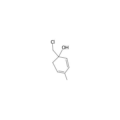 CC1=CCC(O)(CCl)C=C1